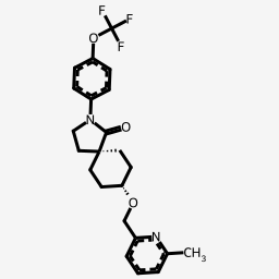 Cc1cccc(CO[C@H]2CC[C@@]3(CCN(c4ccc(OC(F)(F)F)cc4)C3=O)CC2)n1